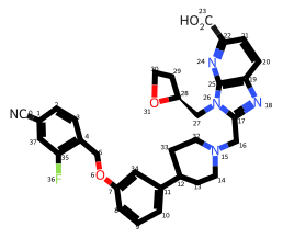 N#Cc1ccc(COc2cccc(C3CCN(Cc4nc5ccc(C(=O)O)nc5n4C[C@@H]4CCO4)CC3)c2)c(F)c1